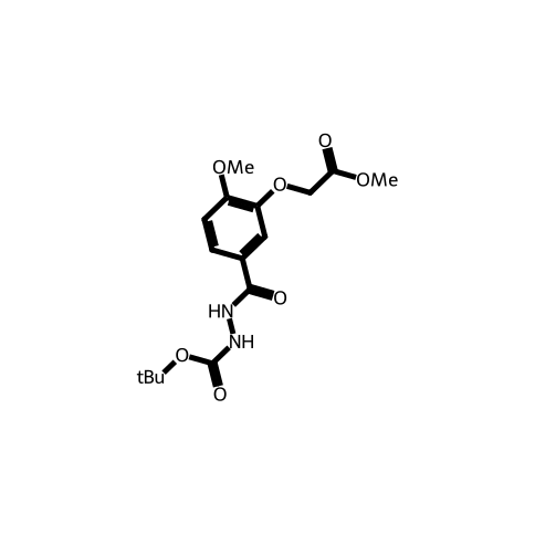 COC(=O)COc1cc(C(=O)NNC(=O)OC(C)(C)C)ccc1OC